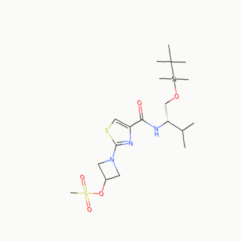 CC(C)[C@@H](CO[Si](C)(C)C(C)(C)C)NC(=O)c1csc(N2CC(OS(C)(=O)=O)C2)n1